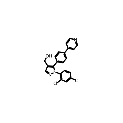 OCc1cnn(-c2ccc(Cl)cc2Cl)c1-c1ccc(-c2ccncc2)cc1